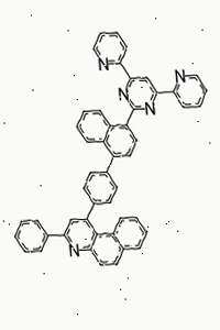 c1ccc(-c2cc(-c3ccc(-c4ccc(-c5nc(-c6ccccn6)cc(-c6ccccn6)n5)c5ccccc45)cc3)c3c(ccc4ccccc43)n2)cc1